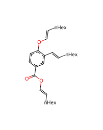 CCCCCCC=COC(=O)c1ccc(OC=CCCCCCC)c(C=CCCCCCC)c1